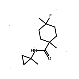 CC1(F)CCC(C)(C(=O)NC2(C)CC2)CC1